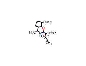 C=CCC(CCCCCC)C(=O)N(C(=O)OCC)[C@H](C)c1cccc(OC)c1